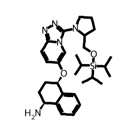 CC(C)[Si](OCC1CCCN1c1nnc2ccc(O[C@@H]3CC[C@H](N)c4ccccc43)cn12)(C(C)C)C(C)C